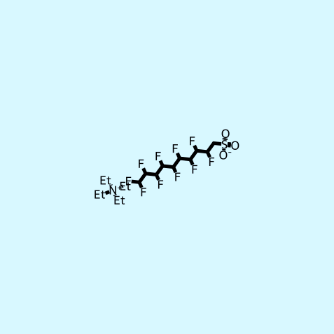 CC[N+](CC)(CC)CC.O=S(=O)([O-])CC(F)C(F)C(F)C(F)C(F)C(F)C(F)C(F)C(F)F